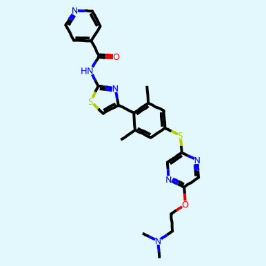 Cc1cc(Sc2cnc(OCCN(C)C)cn2)cc(C)c1-c1csc(NC(=O)c2ccncc2)n1